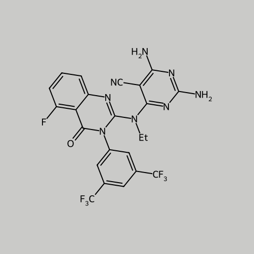 CCN(c1nc(N)nc(N)c1C#N)c1nc2cccc(F)c2c(=O)n1-c1cc(C(F)(F)F)cc(C(F)(F)F)c1